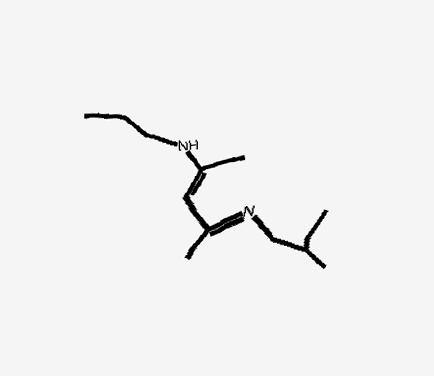 CCCNC(C)=CC(C)=NCC(C)C